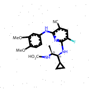 COc1ccc(Nc2nc(N[C@@H](C3CC3)[C@H](C)NC(=O)O)c(F)cc2C#N)cc1OC